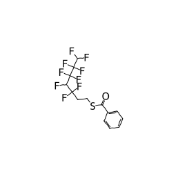 O=C(SCCC(F)(F)C(F)C(F)(F)C(F)(F)C(F)F)c1ccccc1